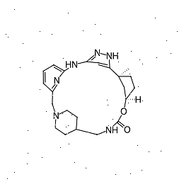 C[C@]12CC[C@H](C1)OC(=O)NCC1CCN(CC1)Cc1cccc(n1)Nc1cc2[nH]n1